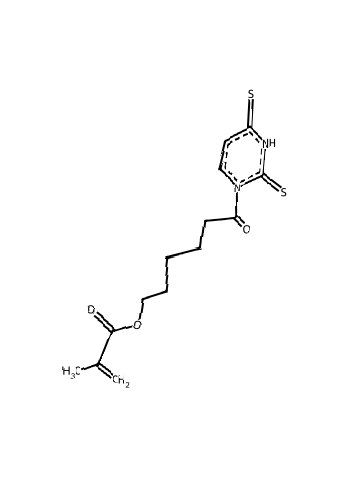 C=C(C)C(=O)OCCCCCC(=O)n1ccc(=S)[nH]c1=S